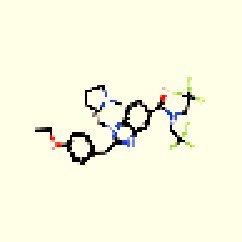 CCOc1ccc(Cc2nc3cc(C(=O)N(CC(F)(F)F)CC(F)(F)F)ccc3n2C[C@H]2CCCN2C)cc1